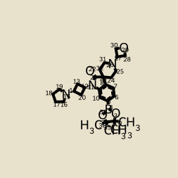 CC1(C)OB(c2ccc3c(c2)N([C@H]2C[C@@H](N4CCCC4)C2)C(=O)C32CCN(C3COC3)CC2)OC1(C)C